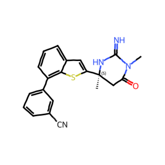 CN1C(=N)N[C@](C)(c2cc3cccc(-c4cccc(C#N)c4)c3s2)CC1=O